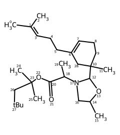 CC(C)=CCCC1=CCCC(C)(C2OC(C)CN2C(C)C(=O)OC(C)(C)CC(C)(C)C)C1